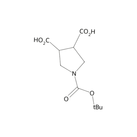 CC(C)(C)OC(=O)N1CC(C(=O)O)C(C(=O)O)C1